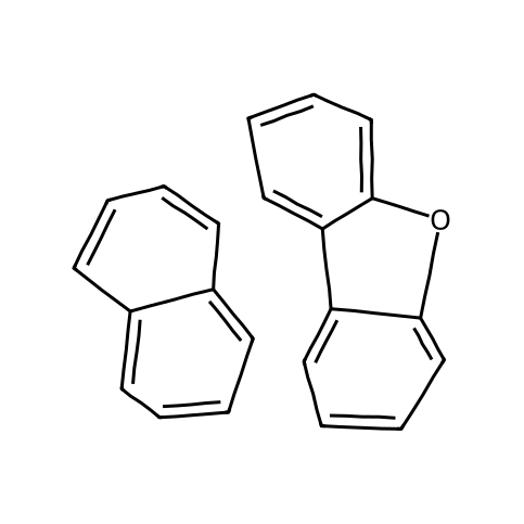 c1ccc2c(c1)oc1ccccc12.c1ccc2ccccc2c1